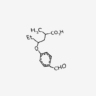 CCC(CC(C)C(=O)O)Oc1ccc(C=O)cc1